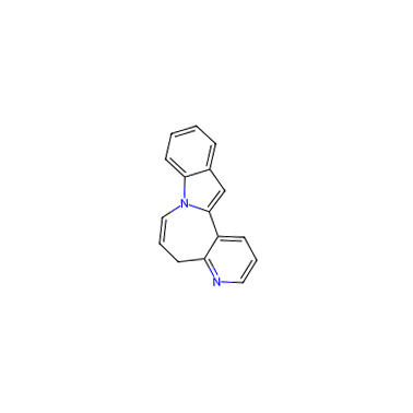 C1=Cn2c(cc3ccccc32)-c2cccnc2C1